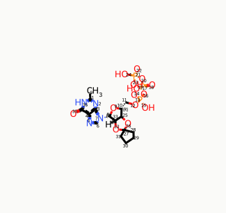 Cc1nc2c(ncn2[C@@H]2O[C@H](COP(=O)(O)OP(=O)(O)OP(=O)(O)O)C3OC4(CCCC4)O[C@@H]32)c(=O)[nH]1